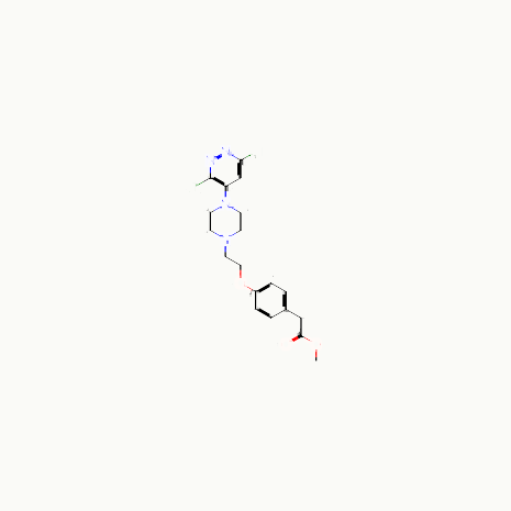 COC(=O)Cc1ccc(OCCN2CCN(c3cc(Cl)nnc3Cl)CC2)cc1